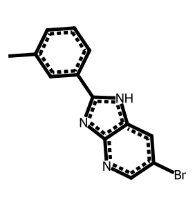 Cc1cccc(-c2nc3ncc(Br)cc3[nH]2)c1